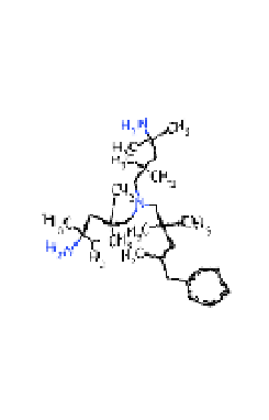 CC(Cc1ccccc1)CC(C)(C)CN(CC(C)(C)CC(C)(C)N)CC(C)(C)CC(C)(C)N